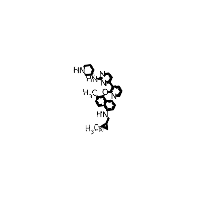 Cc1ccc2c(NCC3C[C@@H]3C)cccc2c1Oc1ncccc1-c1ccnc(N[C@H]2CCCNC2)n1